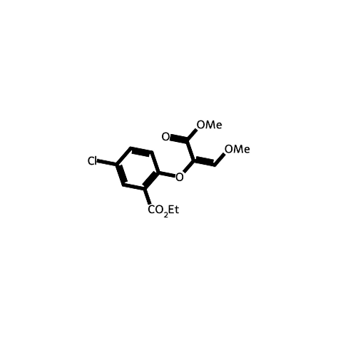 CCOC(=O)c1cc(Cl)ccc1OC(=COC)C(=O)OC